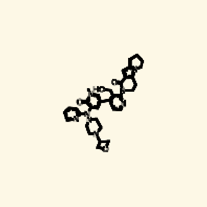 Cn1cc(-c2ccnc(N3CCc4c(cc5n4CCCC5)C3=O)c2CO)cc(N(c2ccccn2)N2CCN(C3COC3)CC2)c1=O